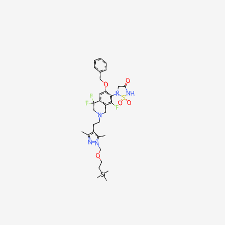 Cc1nn(COCC[Si](C)(C)C)c(C)c1CCN1Cc2c(cc(OCc3ccccc3)c(N3CC(=O)NS3(=O)=O)c2F)C(F)(F)C1